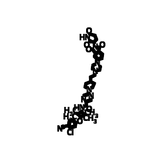 CC1(C)[C@H](NC(=O)c2cnc(N3CCC(CCN4CCN(c5ccc6c(c5)C(=O)N(C5CCC(=O)NC5=O)C6=O)CC4)CC3)cn2)C(C)(C)[C@H]1Oc1ccc(C#N)c(Cl)c1